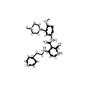 COc1ccc(NC(=O)c2c(NCCc3ccncc3)cc[nH]c2=O)cc1N1CCN(C)CC1